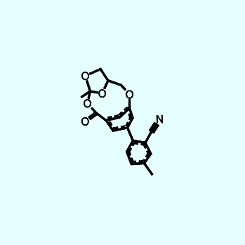 Cc1ccc(-c2cc3cc(c2)C(=O)OC2(C)OCC(CO3)O2)c(C#N)c1